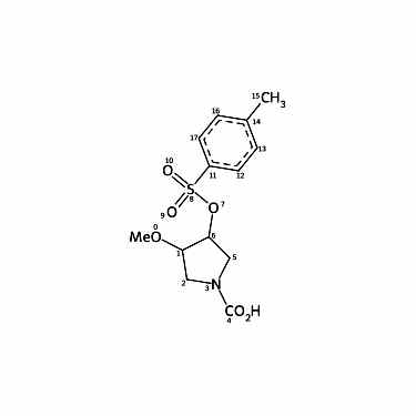 COC1CN(C(=O)O)CC1OS(=O)(=O)c1ccc(C)cc1